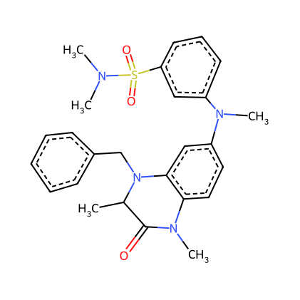 CC1C(=O)N(C)c2ccc(N(C)c3cccc(S(=O)(=O)N(C)C)c3)cc2N1Cc1ccccc1